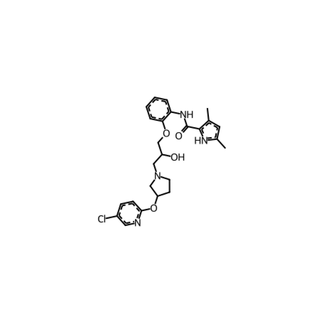 Cc1cc(C)c(C(=O)Nc2ccccc2OCC(O)CN2CCC(Oc3ccc(Cl)cn3)C2)[nH]1